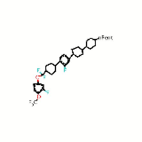 CCCCCC1CCC(C2CCC(c3ccc(C4CCC(C(F)(F)Oc5ccc(OC(F)(F)F)c(F)c5)CC4)c(F)c3)CC2)CC1